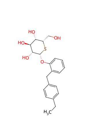 CCc1ccc(Cc2ccccc2O[C@H]2S[C@@H](CO)[C@@H](O)[C@H](O)[C@H]2O)cc1